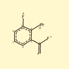 C=C(F)c1cccc(F)c1C(C)C